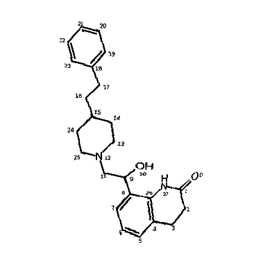 O=C1CCc2cccc(C(O)CN3CCC(CCc4ccccc4)CC3)c2N1